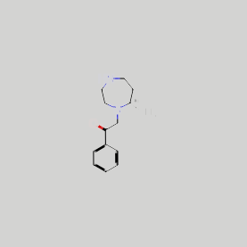 C[C@@H]1CCNCCN1CC(=O)c1ccccc1